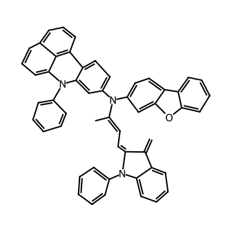 C=c1/c(=C\C=C(/C)N(c2ccc3c(c2)N(c2ccccc2)c2cccc4cccc-3c24)c2ccc3c(c2)oc2ccccc23)n(-c2ccccc2)c2ccccc12